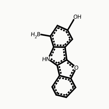 Bc1cc(O)cc2c1[nH]c1c3ccccc3oc21